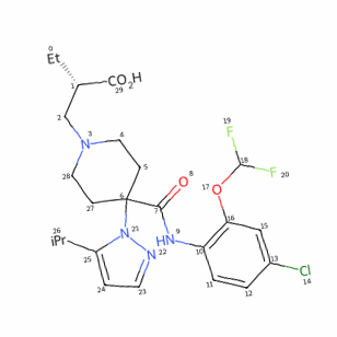 CC[C@@H](CN1CCC(C(=O)Nc2ccc(Cl)cc2OC(F)F)(n2nccc2C(C)C)CC1)C(=O)O